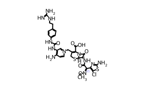 CO/N=C(\C(=O)N[C@@H]1C(=O)N2C(C(=O)O)=C(C[n+]3ccc(N)c(NC(=O)Nc4ccc(CCNC(=N)N)cc4)c3)CS[C@H]12)c1nc(N)sc1Cl